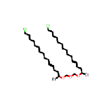 CCC(CCC=CCCCCCCCCCCCl)OCOCOC(CC)CCC=CCCCCCCCCCCCl